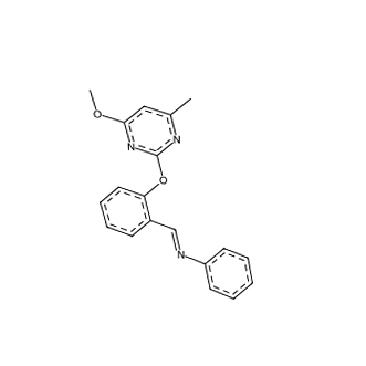 COc1cc(C)nc(Oc2ccccc2/C=N/c2ccccc2)n1